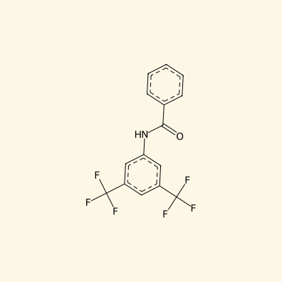 O=C(Nc1cc(C(F)(F)F)cc(C(F)(F)F)c1)c1ccccc1